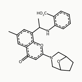 Cc1cc(C(C)Nc2ccccc2C(=O)O)c2oc(N3CC4CCC(C3)O4)cc(=O)c2c1